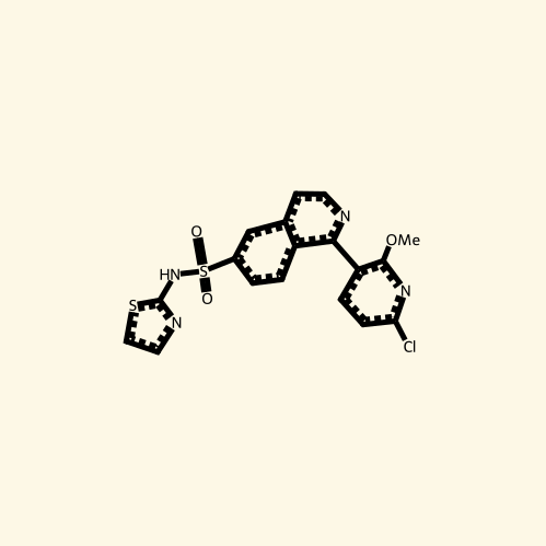 COc1nc(Cl)ccc1-c1nccc2cc(S(=O)(=O)Nc3nccs3)ccc12